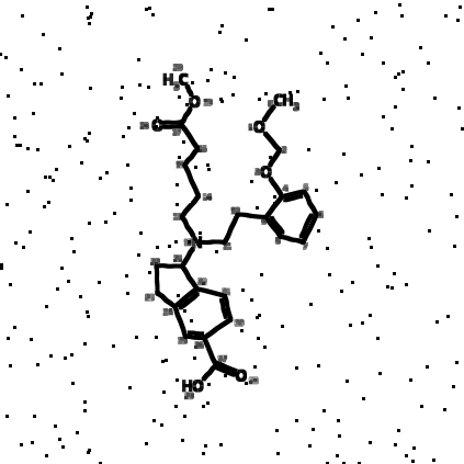 COCOc1ccccc1CCN(CCCCC(=O)OC)C1CCc2cc(C(=O)O)ccc21